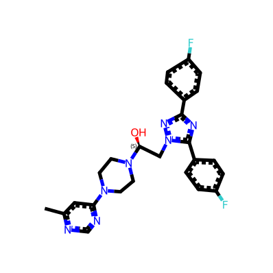 Cc1cc(N2CCN([C@@H](O)Cn3nc(-c4ccc(F)cc4)nc3-c3ccc(F)cc3)CC2)ncn1